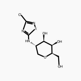 OC[C@H]1OC[C@H](Nc2nc(Cl)ns2)[C@@H](O)[C@H]1O